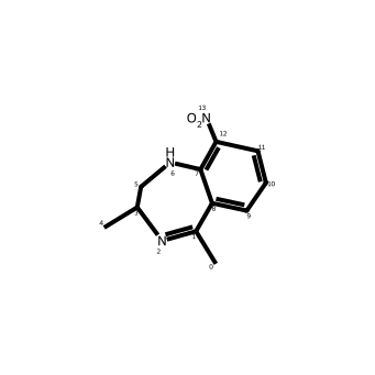 CC1=NC(C)CNc2c1cccc2[N+](=O)[O-]